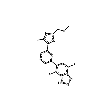 COCc1nc(C)c(-c2cccc(-c3cc(F)c4nn[nH]c4c3F)n2)s1